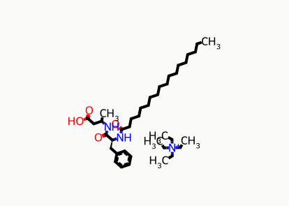 CCCCCCCCCCCCCCCCCC(=O)N[C@@H](Cc1ccccc1)C(=O)NC(C)CC(=O)O.CC[N+](CC)(CC)CC